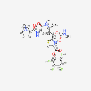 CCNC(=O)O[C@H](C[C@H](C(C)C)N(C)C(=O)[C@@H](NC(=O)C12CCC(CC1)N2C)[C@@H](C)CC)c1nc(C(=O)Oc2c(F)c(F)c(F)c(F)c2F)cs1